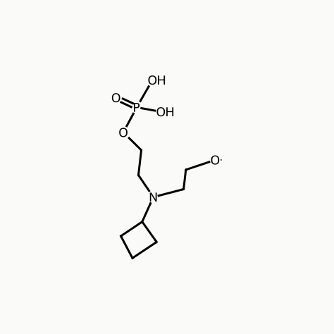 [O]CCN(CCOP(=O)(O)O)C1CCC1